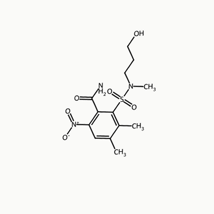 Cc1cc([N+](=O)[O-])c(C(N)=O)c(S(=O)(=O)N(C)CCCO)c1C